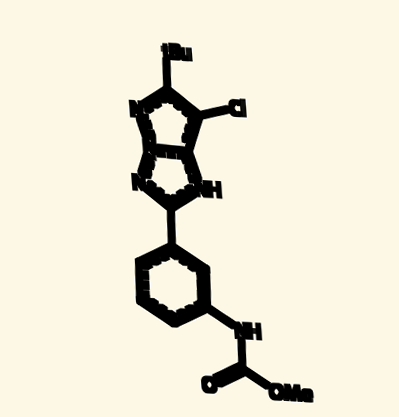 COC(=O)Nc1cccc(-c2nn3nc(C(C)(C)C)c(Cl)c3[nH]2)c1